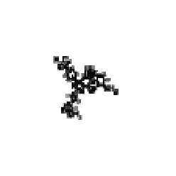 C=CC(=O)N1CCN(c2nc(N3CC(N(CC)CC)C3)nc3c(=O)n(C4=C(F)C(N)=CCC4C)c(C(F)(F)F)cc23)CC1